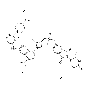 COC1CCN(c2nccc(Nc3cc4c(C(C)C)ccc(N5C[C@H](CS(=O)(=O)Cc6ccc7c(c6)C(=O)N(C6CCC(=O)NC6=O)C7=O)[C@H]5C)c4cn3)n2)CC1